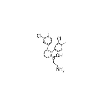 Cc1ccc(-c2cccc(B(O)CCN)c2-c2ccc(C)c(Cl)c2)cc1Cl